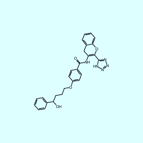 O=C(NC1=C(c2nnn[nH]2)Oc2ccccc2C1)c1ccc(OCCCC(O)c2ccccc2)cc1